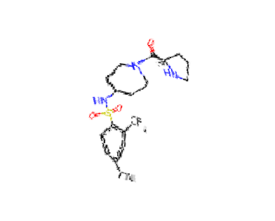 N#Cc1ccc(S(=O)(=O)NC2CCN(C(=O)[C@H]3CCCN3)CC2)c(C(F)(F)F)c1